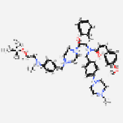 CC(=O)N1CCN(c2ccc(CN(C(=O)/C=C\c3ccc(OC(C)C)cc3)[C@@H](Cc3ccccc3)C(=O)N3CCN(Cc4ccc(N(C)CCO[Si](C)(C)C(C)(C)C)cc4)CC3)cc2)CC1